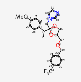 COc1ccc(C(C)C2(Cn3ccnc3)OCC(COCc3ccc(C(F)(F)F)cc3)O2)cc1